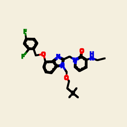 CCNc1cccn(Cc2nc3c(OCc4ccc(F)cc4F)cccc3n2COCC[Si](C)(C)C)c1=O